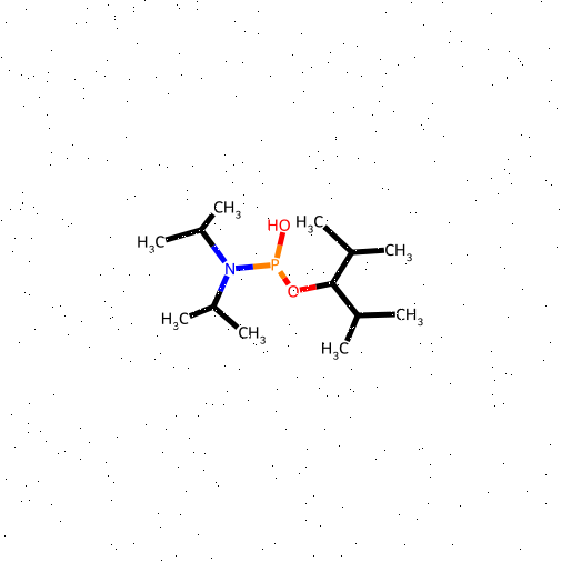 CC(C)C(OP(O)N(C(C)C)C(C)C)C(C)C